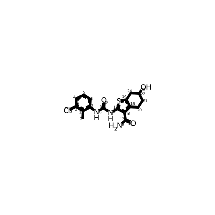 Cc1c(Cl)cccc1NC(=O)Nc1sc2c(c1C(N)=O)CCC(O)C2